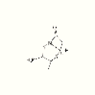 CC1S[C@@H]2CC(=O)N2C=C1P